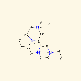 CCC(CN1CCN(CC)CC1)N1CCN(CC)CC1